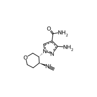 C#[N+][C@H]1CCOC[C@@H]1n1cc(C(N)=O)c(N)n1